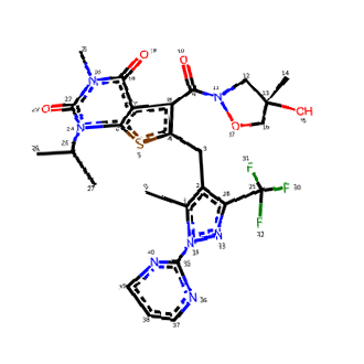 Cc1c(Cc2sc3c(c2C(=O)N2C[C@](C)(O)CO2)c(=O)n(C)c(=O)n3C(C)C)c(C(F)(F)F)nn1-c1ncccn1